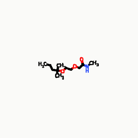 CCCC(C)(C)OCCOCC(=O)NC